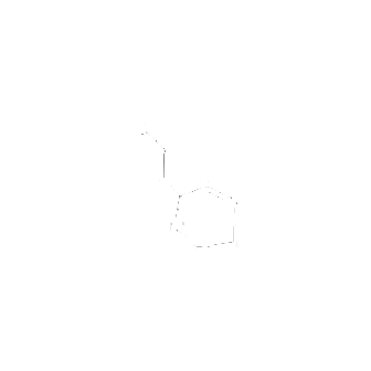 SCCC1C=NCCN1